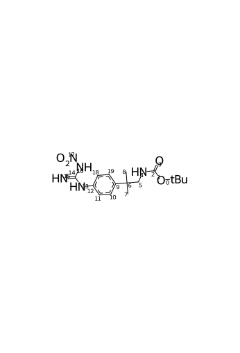 CC(C)(C)OC(=O)NCC(C)(C)c1ccc(NC(=N)N[N+](=O)[O-])cc1